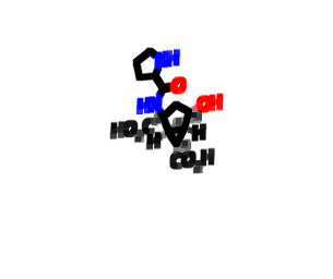 O=C(N[C@@]1(C(=O)O)C[C@H](O)[C@H]2[C@H](C(=O)O)[C@H]21)C1CCCN1